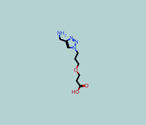 NCc1cn(CCCOCCC(=O)O)nn1